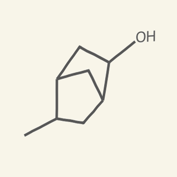 CC1CC2CC1CC2O